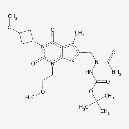 COCCn1c(=O)n(C2CC(OC)C2)c(=O)c2c(C)c(CN(NC(=O)OC(C)(C)C)C(N)=O)sc21